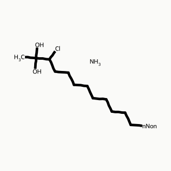 CCCCCCCCCCCCCCCCCCC(Cl)C(C)(O)O.N